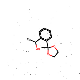 CCC(O)c1ccccc1C1(C)OCCO1